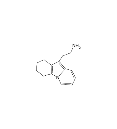 NCCc1c2c(n3ccccc13)CCCC2